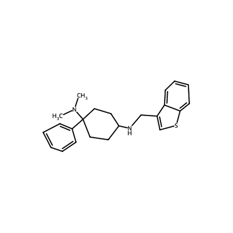 CN(C)C1(c2ccccc2)CCC(NCc2csc3ccccc23)CC1